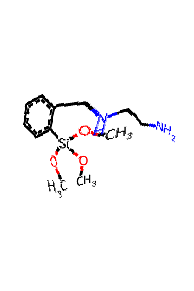 CO[Si](OC)(OC)c1ccccc1CNCCN